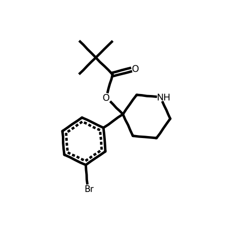 CC(C)(C)C(=O)OC1(c2cccc(Br)c2)CCCNC1